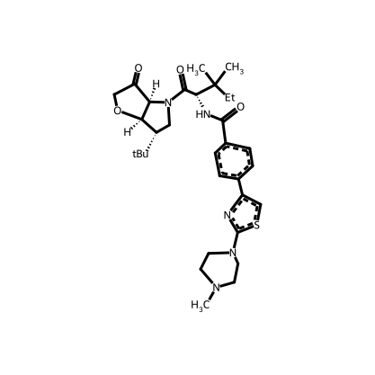 CCC(C)(C)[C@H](NC(=O)c1ccc(-c2csc(N3CCN(C)CC3)n2)cc1)C(=O)N1C[C@H](C(C)(C)C)[C@H]2OCC(=O)[C@H]21